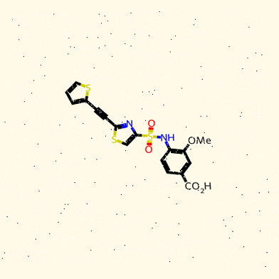 COc1cc(C(=O)O)ccc1NS(=O)(=O)c1csc(C#Cc2cccs2)n1